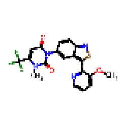 COc1cccnc1-c1snc2ccc(-n3c(=O)cc(C(F)(F)F)n(C)c3=O)cc12